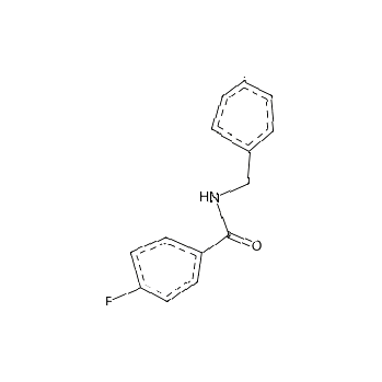 O=C(NCc1cc[c]cc1)c1ccc(F)cc1